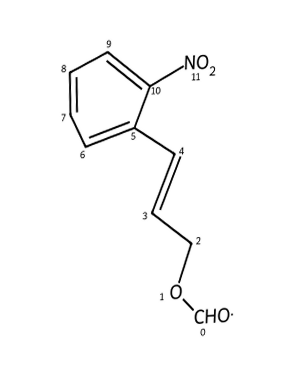 O=[C]OC/C=C/c1ccccc1[N+](=O)[O-]